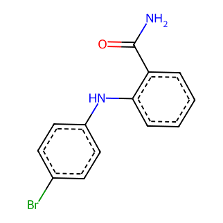 NC(=O)c1ccccc1Nc1ccc(Br)cc1